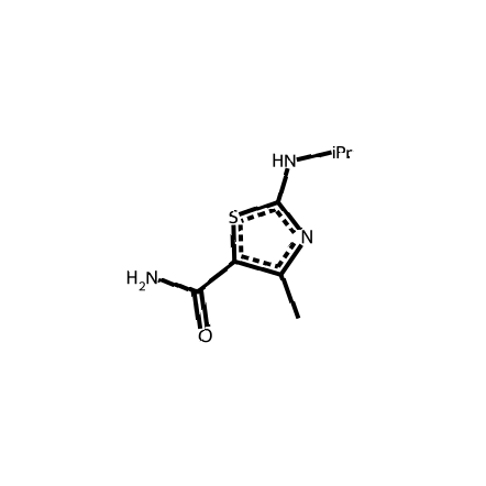 Cc1nc(NC(C)C)sc1C(N)=O